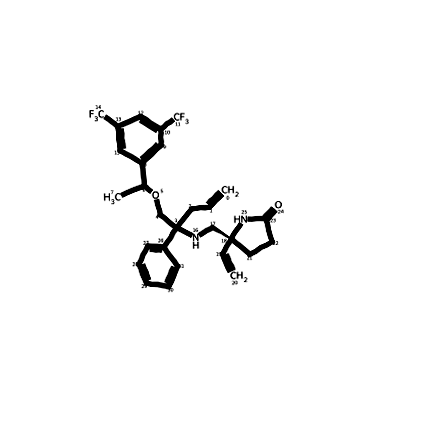 C=CCC(COC(C)c1cc(C(F)(F)F)cc(C(F)(F)F)c1)(NC[C@]1(C=C)CCC(=O)N1)c1ccccc1